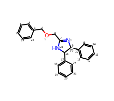 c1ccc(COCC2=N[C@@H](c3ccccc3)C(c3ccccc3)N2)cc1